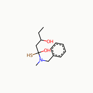 CCC(O)CC(O)(S)N(C)Cc1ccccc1